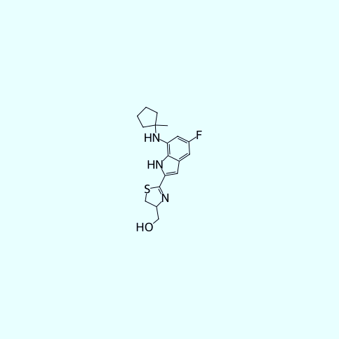 CC1(Nc2cc(F)cc3cc(C4=NC(CO)CS4)[nH]c23)CCCC1